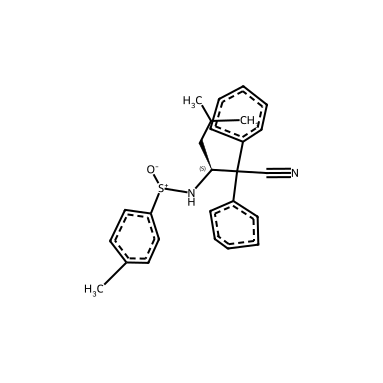 Cc1ccc([S+]([O-])N[C@@H](CC(C)C)C(C#N)(c2ccccc2)c2ccccc2)cc1